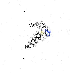 CCOC(=O)c1nnn(Cc2ccc(OC)cc2)c1Sc1ccc(-c2ccc(C#N)cc2)cc1